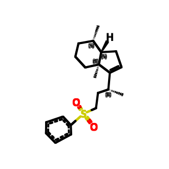 C[C@H](CCS(=O)(=O)c1ccccc1)C1=CC[C@H]2[C@@H](C)CCC[C@]12C